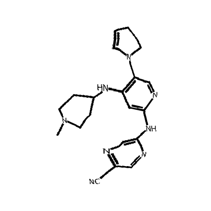 CN1CCC(Nc2cc(Nc3cnc(C#N)cn3)ncc2N2C=CCC2)CC1